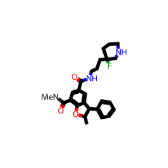 CNC(=O)c1cc(C(=O)NCCCC2(F)CCCNC2)cc2c1OC(C)C2c1ccccc1